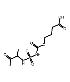 CC(=O)C(C)NS(=O)(=O)NC(=O)OCCCC(=O)O